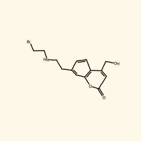 O=c1cc(CO)c2ccc(CCNCCBr)cc2o1